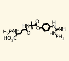 CC(C)(NC(=O)CCC(NP)C(=O)O)C(=O)Oc1ccc(NC(=N)NP)cc1